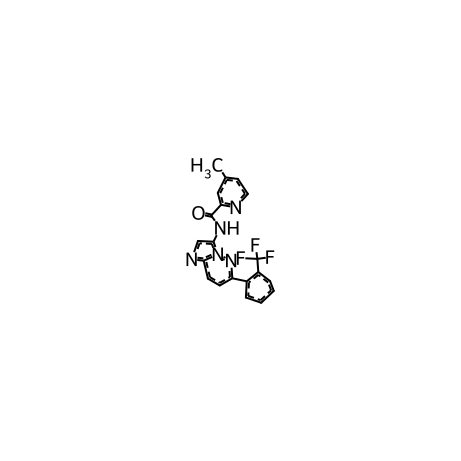 Cc1ccnc(C(=O)Nc2cnc3ccc(-c4ccccc4C(F)(F)F)nn23)c1